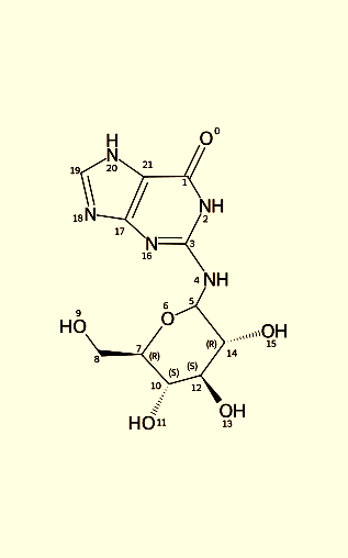 O=c1[nH]c(NC2O[C@H](CO)[C@@H](O)[C@H](O)[C@H]2O)nc2nc[nH]c12